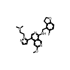 COc1cc2c(-c3ccnn3CCN(C)C)cnc(NCc3c(F)ccc4c3CCO4)c2cn1